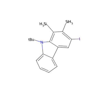 CC(C)(C)n1c2ccccc2c2cc(I)c([SiH3])c([SiH3])c21